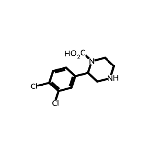 O=C(O)N1CCNCC1c1ccc(Cl)c(Cl)c1